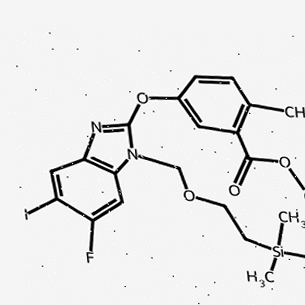 COC(=O)c1cc(Oc2nc3cc(I)c(F)cc3n2COCC[Si](C)(C)C)ccc1C